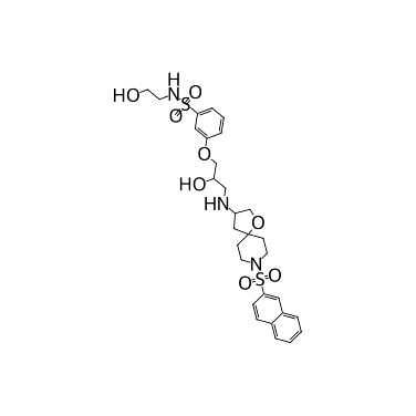 O=S(=O)(NCCO)c1cccc(OCC(O)CNC2COC3(CCN(S(=O)(=O)c4ccc5ccccc5c4)CC3)C2)c1